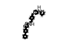 O=C(CC(=O)c1ccc(-c2ccccc2)cc1)NCCc1ccc(CN2CCC(Nc3ccccn3)CC2)cc1